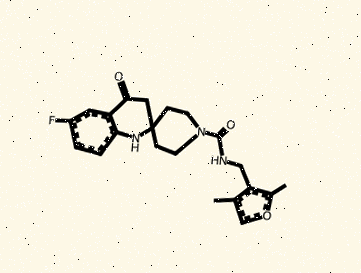 Cc1coc(C)c1CNC(=O)N1CCC2(CC1)CC(=O)c1cc(F)ccc1N2